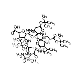 CC(C)[C@H](NC(=O)[C@H](CCC(=O)OC(C)(C)C)NC(=O)[C@H](CC(=O)OC(C)(C)C)NC(=O)C1OC(C(=O)O)C(O)C1O)C(=O)N[C@@H](CC(=O)OC(C)(C)C)C(=O)N[C@H](C)C(N)=O